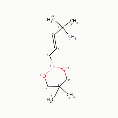 CC1(C)COB(C/C=C/[Si](C)(C)C)OC1